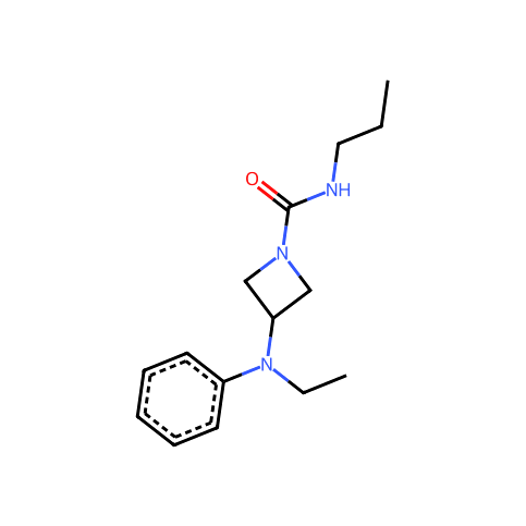 CCCNC(=O)N1CC(N(CC)c2ccccc2)C1